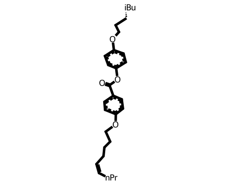 CCC/C=C\CCCCOc1ccc(C(=O)Oc2ccc(OCCC[C@@H](C)CC)cc2)cc1